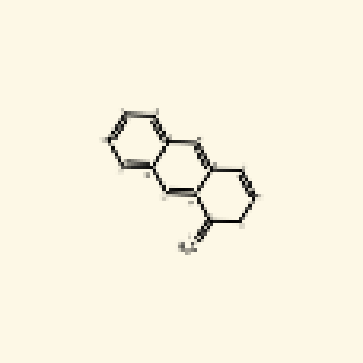 C=C1CC=Cc2cc3ccccc3cc21